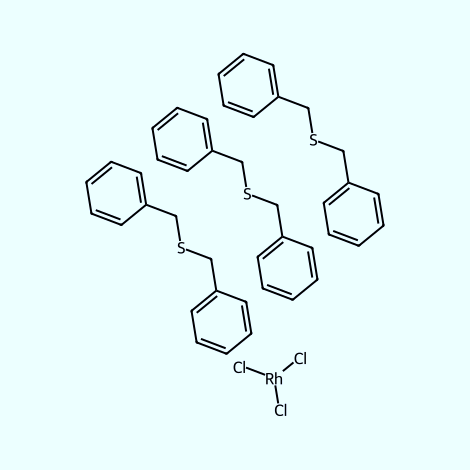 [Cl][Rh]([Cl])[Cl].c1ccc(CSCc2ccccc2)cc1.c1ccc(CSCc2ccccc2)cc1.c1ccc(CSCc2ccccc2)cc1